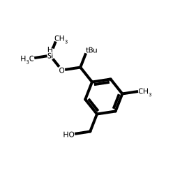 Cc1cc(CO)cc(C(O[SiH](C)C)C(C)(C)C)c1